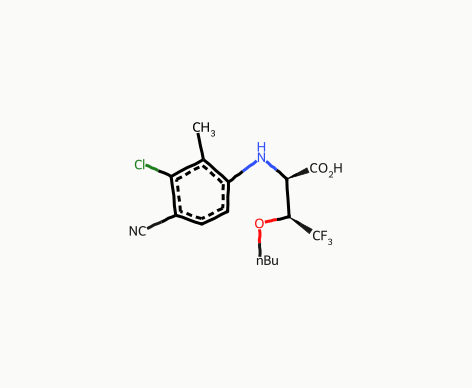 CCCCO[C@@H]([C@@H](Nc1ccc(C#N)c(Cl)c1C)C(=O)O)C(F)(F)F